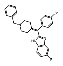 Fc1ccc2[nH]c(C(=C3CCN(Cc4ccccc4)CC3)c3ccc(Br)cc3)nc2c1